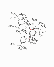 CCCCCC(C)(C)c1ccc([SiH](O[SiH](c2ccc(C(C)(C)CCCCC)cc2C(C)(C)CCCCC)c2ccc(C(C)(C)CCCCC)cc2C(C)(C)CCCCC)c2ccc(C(C)(C)CCCCC)cc2C(C)(C)CCCCC)c(C(C)(C)CCCCC)c1